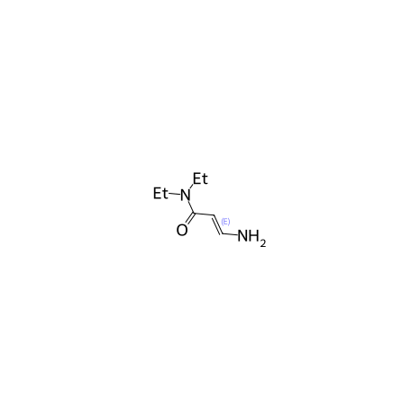 CCN(CC)C(=O)/C=C/N